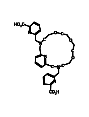 O=C(O)c1cccc(CN2CCOCCOCCOCCN(Cc3cccc(C(=O)O)n3)Cc3cccc(n3)C2)n1